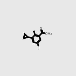 COC(=O)c1cc(I)cc(C2CC2)c1C